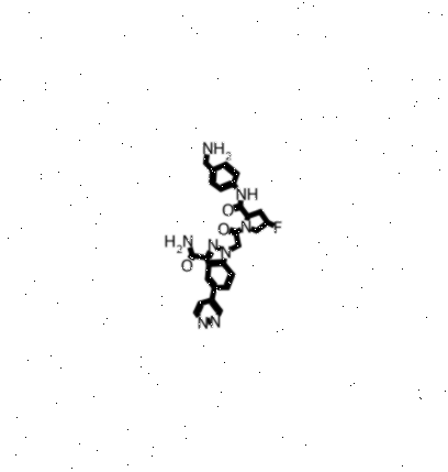 NCc1ccc(NC(=O)C2CC(F)CN2C(=O)Cn2nc(C(N)=O)c3cc(-c4ccnnc4)ccc32)cc1